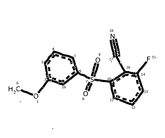 COc1cccc(S(=O)(=O)c2cccc(F)c2C#N)c1